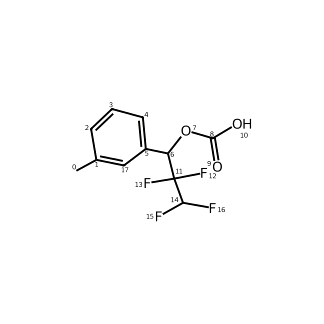 Cc1cccc(C(OC(=O)O)C(F)(F)C(F)F)c1